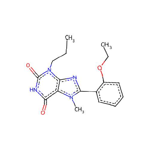 CCCn1c(=O)[nH]c(=O)c2c1nc(-c1ccccc1OCC)n2C